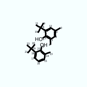 Cc1cc(C)c(O)c(C(C)(C)C)c1.Cc1cccc(C(C)(C)C)c1O